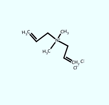 C=CC[N+](C)(C)CC=C.[C].[Cl-]